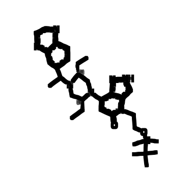 CC[C@H]1CN(C(C)c2ccc3nccnc3c2)[C@H](CC)CN1c1cc(=O)n(CCO[Si](C)(C)C(C)(C)C)c2c[nH]nc12